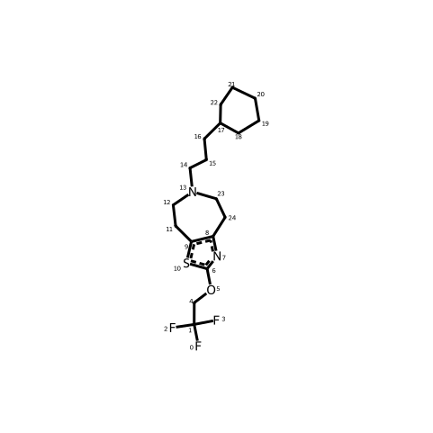 FC(F)(F)COc1nc2c(s1)CCN(CCCC1CCCCC1)CC2